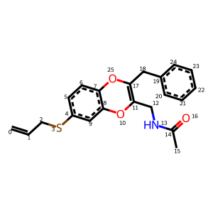 C=CCSc1ccc2c(c1)OC(CNC(C)=O)=C(Cc1ccccc1)O2